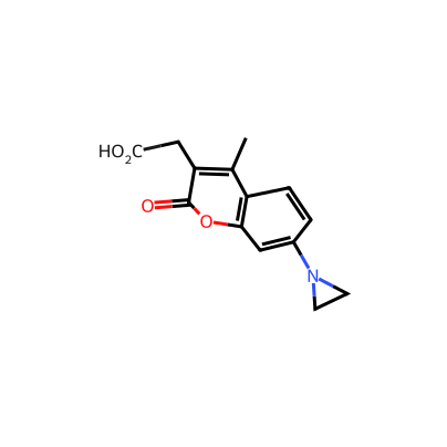 Cc1c(CC(=O)O)c(=O)oc2cc(N3CC3)ccc12